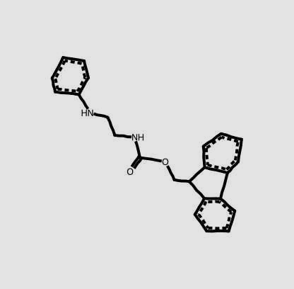 O=C(NCCNc1ccccc1)OCC1c2ccccc2-c2ccccc21